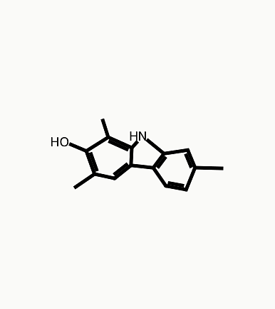 Cc1ccc2c(c1)[nH]c1c(C)c(O)c(C)cc12